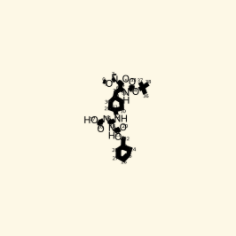 CON(C)C(=O)C(CC1CCC(NC(=NC(=O)O)NC(=O)OCc2ccccc2)CC1)NC(=O)OC(C)(C)C